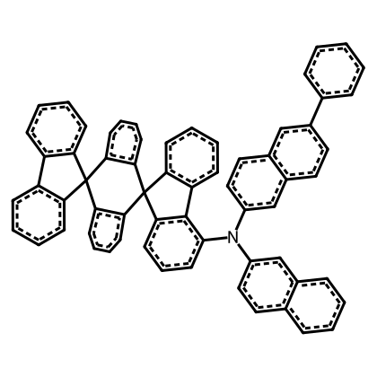 c1ccc(-c2ccc3cc(N(c4ccc5ccccc5c4)c4cccc5c4-c4ccccc4C54c5ccccc5C5(c6ccccc6-c6ccccc65)c5ccccc54)ccc3c2)cc1